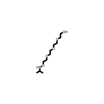 CC(C)NOCCOCCOCCOCCO